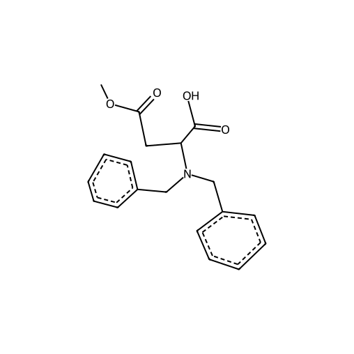 COC(=O)CC(C(=O)O)N(Cc1ccccc1)Cc1ccccc1